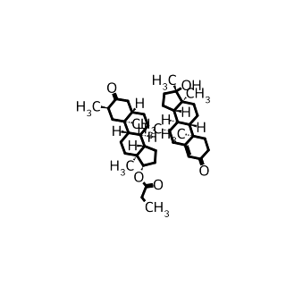 CCC(=O)O[C@H]1CC[C@H]2[C@@H]3CC[C@H]4CC(=O)[C@H](C)C[C@]4(C)[C@H]3CC[C@]12C.C[C@H]1CC2=CC(=O)CC[C@]2(C)[C@H]2CC[C@@]3(C)[C@@H](CC[C@]3(C)O)[C@H]12